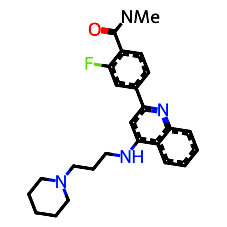 CNC(=O)c1ccc(-c2cc(NCCCN3CCCCC3)c3ccccc3n2)cc1F